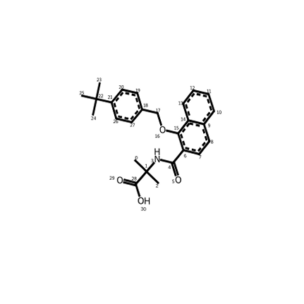 CC(C)(NC(=O)c1ccc2ccccc2c1OCc1ccc(C(C)(C)C)cc1)C(=O)O